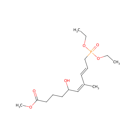 CCOP(=O)(C/C=C/C(C)=C\C(O)CCCC(=O)OC)OCC